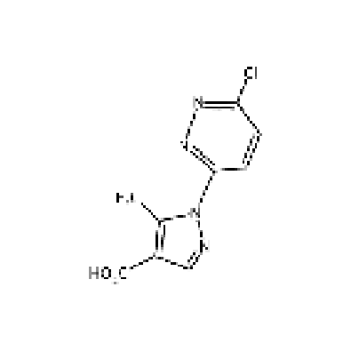 O=C(O)c1cnn(-c2ccc(Cl)nn2)c1C(F)(F)F